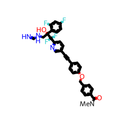 CNC(=O)c1ccc(COc2ccc(C#Cc3ccc(C(F)(F)C(O)(CNC=N)c4ccc(F)cc4F)nc3)cc2)cc1